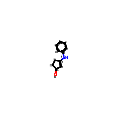 O=C1C=C(Nc2ccccc2)CC1